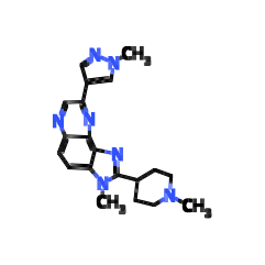 CN1CCC(c2nc3c4nc(-c5cnn(C)c5)cnc4ccc3n2C)CC1